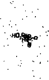 O=C(O)c1cc2[nH]c(-c3ccoc3)c(CCC3CCCCC3)c(=O)n2n1